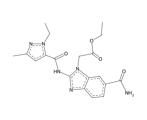 CCOC(=O)Cn1c(NC(=O)c2cc(C)nn2CC)nc2ccc(C(N)=O)cc21